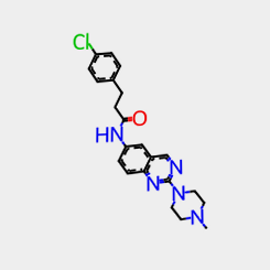 CN1CCN(c2ncc3cc(NC(=O)CCc4ccc(Cl)cc4)ccc3n2)CC1